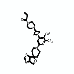 C=CC(=O)N1CCN(C2CN(c3cc(N4CCC5(CC4)OCc4ncsc45)nc(C(F)(F)F)c3C#N)C2)CC1